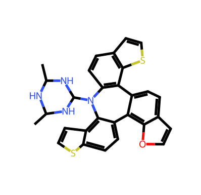 CC1NC(C)NC(N2c3ccc4ccsc4c3-c3ccc4ccoc4c3-c3ccc4sccc4c32)N1